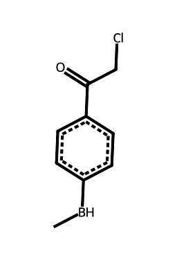 CBc1ccc(C(=O)CCl)cc1